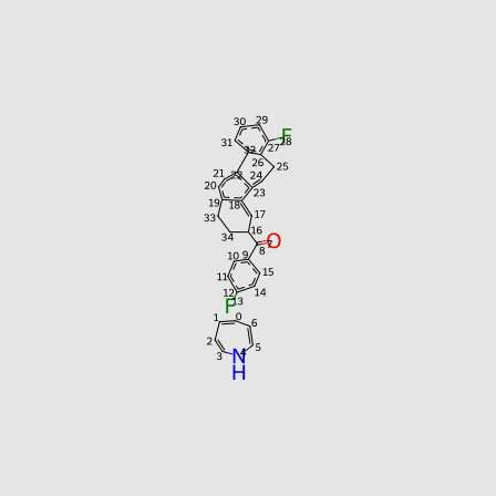 C1=CC=CNC=C1.O=C(c1ccc(F)cc1)C1C=c2c(ccc3c2=CCc2c(F)cccc2-3)CC1